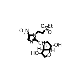 CCS(=O)(=O)CCn1c([N+](=O)[O-])cnc1C.O[C@@H]1CO[C@H]2[C@@H]1OC[C@@H]2O